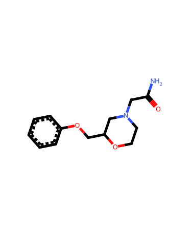 NC(=O)CN1CCOC(COc2ccccc2)C1